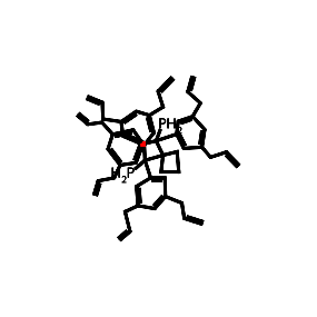 C=CCc1cc(CC=C)cc(C(P)(c2cc(CC=C)cc(CC=C)c2)C2(C(P)(c3cc(CC=C)cc(CC=C)c3)c3cc(CC=C)cc(CC=C)c3)CCC2)c1